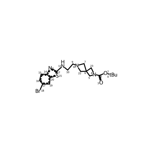 CC(C)(C)OC(=O)N1CC2(CN(CCNc3nc4ccc(Br)cc4s3)C2)C1